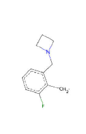 [CH2]c1c(F)cccc1CN1CCC1